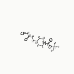 CC(C)(C)OC(=O)N1CCC(CCC(=O)CCl)CC1